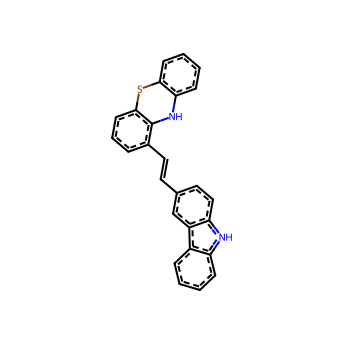 C(=Cc1cccc2c1Nc1ccccc1S2)c1ccc2[nH]c3ccccc3c2c1